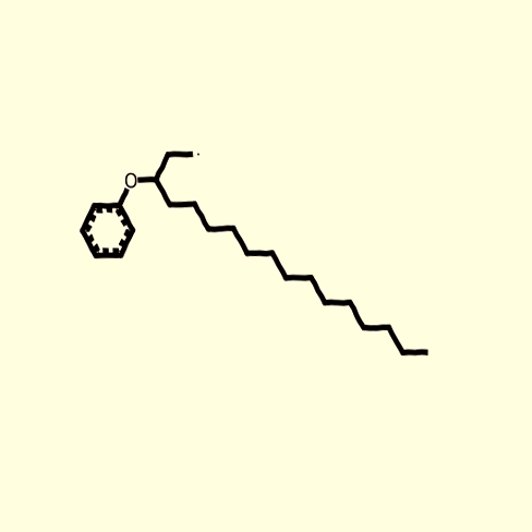 [CH2]CC(CCCCCCCCCCCCCC)Oc1ccccc1